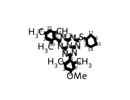 COc1cc(C)c(C2=NC3=NC(SC4CCCCC4)=NC4=NC(c5c(C)cc(C)cc5C)=NC(=N2)N34)c(C)c1